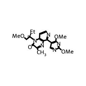 CC[C@H](COC)n1c(=O)c(C)nc2c(-c3cnc(OC)nc3OC)nccc21